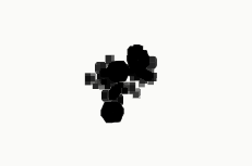 CC1(C)CC(=O)c2c(C(F)(F)F)nn(-c3cc(F)c(C(N)=O)c(NC(N)C(=O)OC4CCCCC4)c3)c2C1